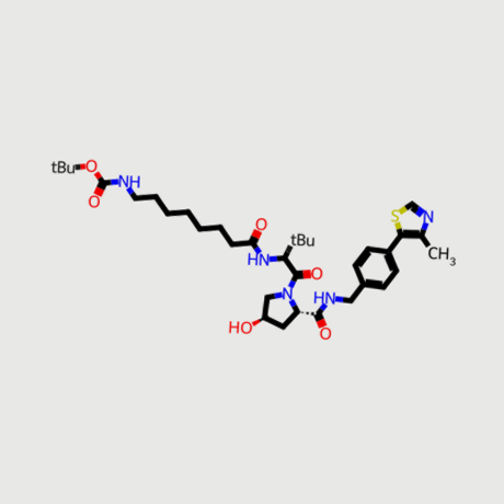 Cc1ncsc1-c1ccc(CNC(=O)[C@@H]2C[C@@H](O)CN2C(=O)C(NC(=O)CCCCCCCNC(=O)OC(C)(C)C)C(C)(C)C)cc1